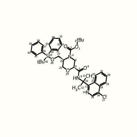 CC(C)(C)OC(=O)N1C[C@@H](C(=O)NC(C)(C)c2ncc(Cl)c3ccccc23)OC[C@H]1CO[Si](c1ccccc1)(c1ccccc1)C(C)(C)C